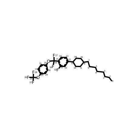 CCCCCCCCC1CCC(c2ccc(C(F)(F)Oc3ccc(OC(F)(F)F)cc3)c(F)c2)CC1